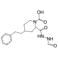 O=CNNC(=O)C1CC(CCc2ccccc2)CCN1C(=O)O